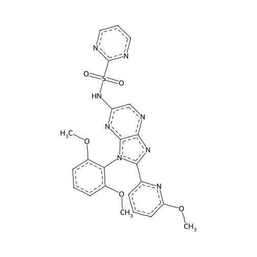 COc1cccc(-c2nc3ncc(NS(=O)(=O)c4ncccn4)nc3n2-c2c(OC)cccc2OC)n1